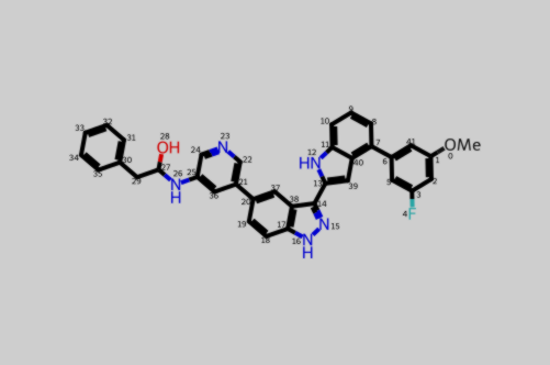 COc1cc(F)cc(-c2cccc3[nH]c(-c4n[nH]c5ccc(-c6cncc(NC(O)Cc7ccccc7)c6)cc45)cc23)c1